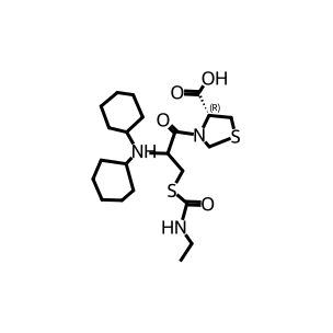 C1CCC(NC2CCCCC2)CC1.CCNC(=O)SCC(C)C(=O)N1CSC[C@H]1C(=O)O